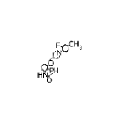 Cc1ccc(N2CCC(COc3cccc4c3PCC(=O)N4)CC2)c(F)c1